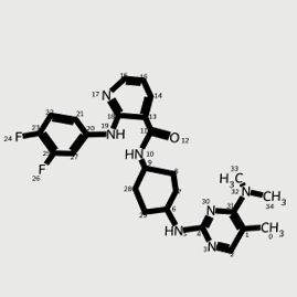 Cc1cnc(NC2CCC(NC(=O)c3cccnc3Nc3ccc(F)c(F)c3)CC2)nc1N(C)C